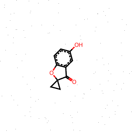 O=C1c2cc(O)ccc2OC12CC2